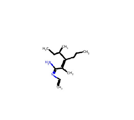 C=C/N=C(N)\C(C)=C(\CCC)C(C)CC